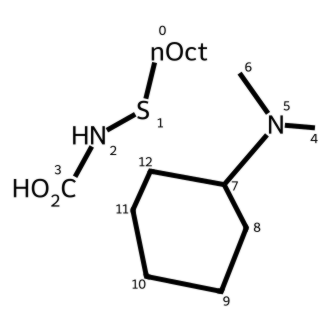 CCCCCCCCSNC(=O)O.CN(C)C1CCCCC1